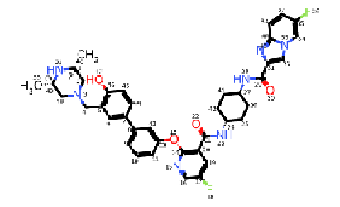 C[C@@H]1CN(Cc2cc(-c3cccc(Oc4ncc(F)cc4C(=O)N[C@H]4CC[C@H](NC(=O)c5cn6cc(F)ccc6n5)CC4)c3)ccc2O)C[C@H](C)N1